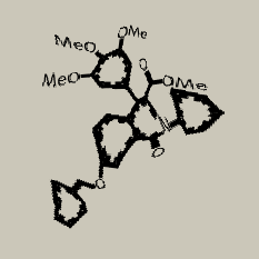 COC(=O)c1c(-c2cc(OC)c(OC)c(OC)c2)c2ccc(OCc3ccccc3)cc2c(=O)n1-c1ccccc1